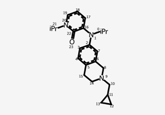 CC(C)N(c1ccc2c(c1)CN(CC1CC1)CC2)c1cccn(C(C)C)c1=O